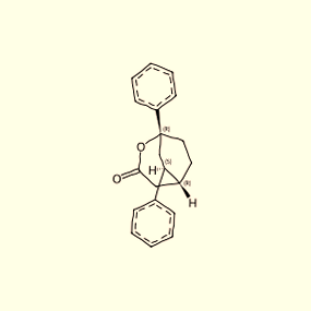 O=C1C[C@H]2CC[C@](c3ccccc3)(C[C@@H]2c2ccccc2)O1